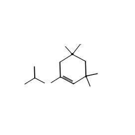 CC1(C(=O)O)C=C(OC(F)F)CC(I)(C(=O)O)C1